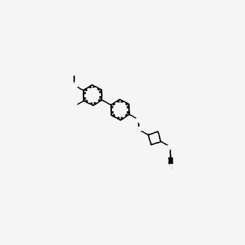 COc1ccc(-c2ccc(SNC3CC(SC#N)C3)cc2)cc1F